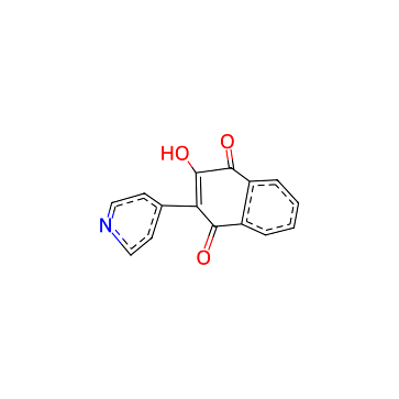 O=C1C(O)=C(c2ccncc2)C(=O)c2ccccc21